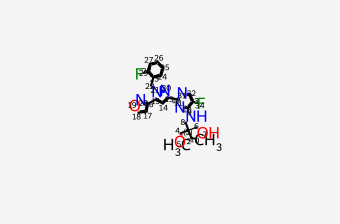 CC(C)[C@@](C=O)(CO)CNc1nc(-c2cc(-c3ccon3)n(Cc3ccccc3F)n2)ncc1F